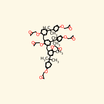 Cc1cc(C(C)(C)c2ccc(OCC3CO3)cc2)cc(Cc2cc(C(C)(C)c3ccc(OCC4CO4)cc3)cc(Cc3cc(C(C)(C)c4ccc(OCC5CO5)cc4)ccc3OCC3CO3)c2OCC2CO2)c1OCC1CO1